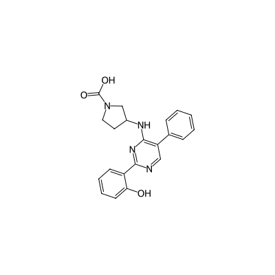 O=C(O)N1CCC(Nc2nc(-c3ccccc3O)ncc2-c2ccccc2)C1